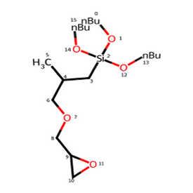 CCCCO[Si](CC(C)COCC1CO1)(OCCCC)OCCCC